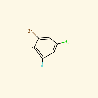 Fc1[c]c(Br)cc(Cl)c1